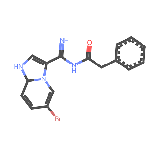 N=C(NC(=O)Cc1ccccc1)C1=CNC2C=CC(Br)=CN12